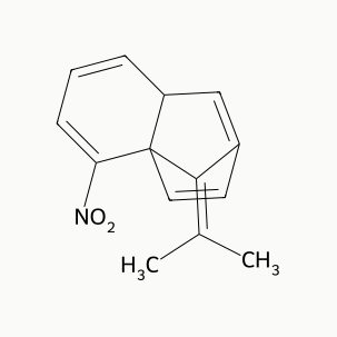 CC(C)=C1C2=CC3C=CC=C([N+](=O)[O-])C13C=C2